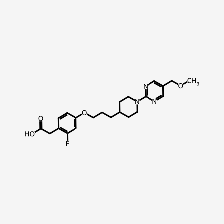 COCc1cnc(N2CCC(CCCOc3ccc(CC(=O)O)c(F)c3)CC2)nc1